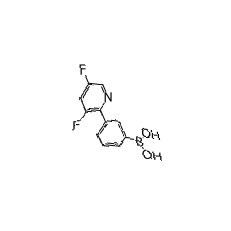 OB(O)c1cccc(-c2ncc(F)cc2F)c1